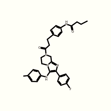 CCCC(=O)Nc1ccc(CCC(=O)N2CCn3c(nc(-c4ccc(F)cc4)c3Nc3ccc(C)cc3)C2)cc1